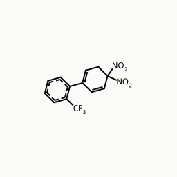 O=[N+]([O-])C1([N+](=O)[O-])C=CC(c2ccccc2C(F)(F)F)=CC1